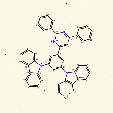 C/C=C\c1c(CC)c2ccccc2n1-c1cc(C2=CC(c3ccccc3)=NC(c3ccccc3)N2)cc(-n2c3ccccc3c3ccccc32)c1